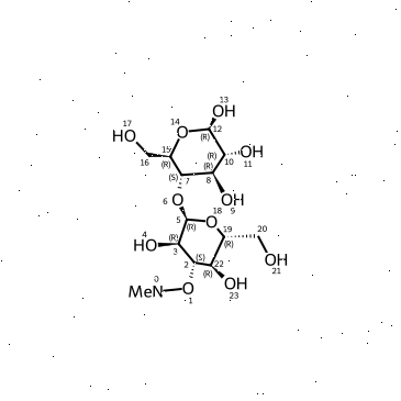 CNO[C@@H]1[C@@H](O)[C@@H](O[C@H]2[C@H](O)[C@@H](O)[C@H](O)O[C@@H]2CO)O[C@H](CO)[C@H]1O